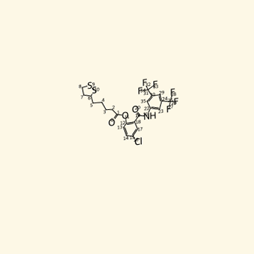 O=C(CCCCC1CCSS1)Oc1ccc(Cl)cc1C(=O)Nc1cc(C(F)(F)F)cc(C(F)(F)F)c1